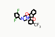 O=C1c2ccccc2C(=O)C1(c1cccc(C(F)(F)F)c1)N1CCN(Cc2cc(F)ccc2F)CC1